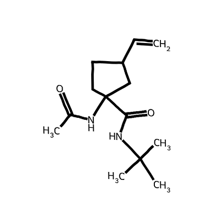 C=CC1CCC(NC(C)=O)(C(=O)NC(C)(C)C)C1